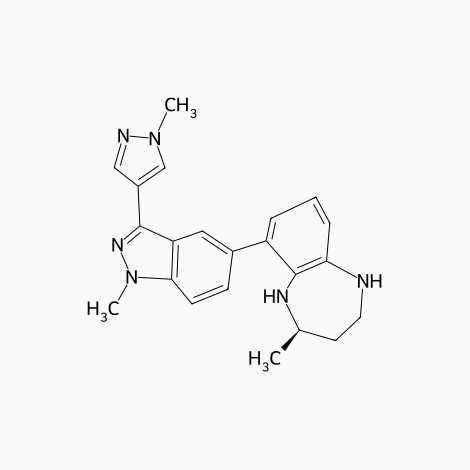 C[C@@H]1CCNc2cccc(-c3ccc4c(c3)c(-c3cnn(C)c3)nn4C)c2N1